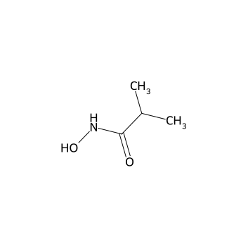 CC(C)C(=O)NO